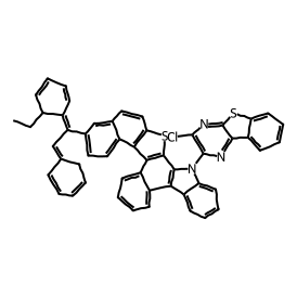 CCC1C=CC=C/C1=C(/C=C1/C=CC=CC1)c1ccc2c(ccc3sc4c(c5ccccc5c5c6ccccc6n(-c6nc7c(nc6Cl)sc6ccccc67)c45)c32)c1